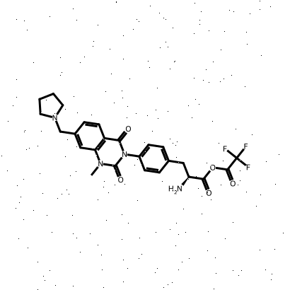 Cn1c(=O)n(-c2ccc(C[C@H](N)C(=O)OC(=O)C(F)(F)F)cc2)c(=O)c2ccc(CN3CCCC3)cc21